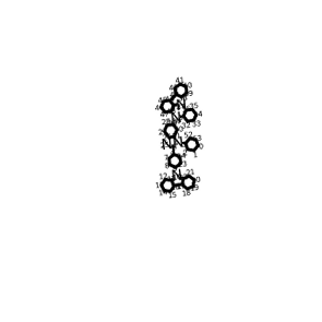 c1ccc(-n2c(-c3ccc(-n4c5ccccc5c5ccccc54)cc3)nc3ccc(N4c5ccccc5-n5c6ccccc6c6cccc4c65)cc32)cc1